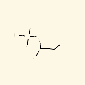 CCOC(=O)C[C@@H](C)O[Si](C(C)C)(C(C)C)C(C)C